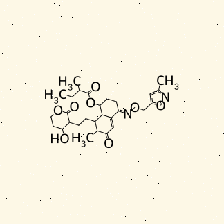 CCC(C)C(=O)OC1CCC(=NOCc2cc(C)no2)C2=CC(=O)C(C)C(CCC3C(=O)OCCC3O)C21